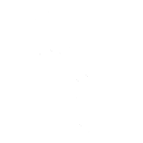 CN(C(=O)c1cccc(-n2nc(C(F)(F)F)c(Cl)c2OC2CCN(C(=O)O)CC2)c1)c1ccc2c(c1)OCO2